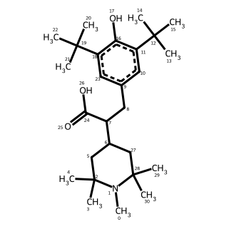 CN1C(C)(C)CC(C(Cc2cc(C(C)(C)C)c(O)c(C(C)(C)C)c2)C(=O)O)CC1(C)C